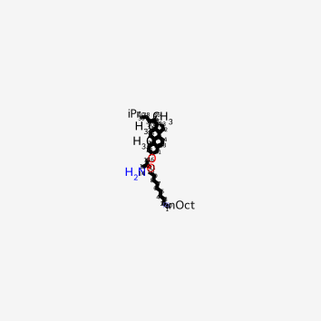 CCCCCCCC/C=C\CCCCCCCCOC(CN)COC1CC[C@@]2(C)C(=CCC3C2CC[C@@]2(C)C3CC[C@@H]2[C@H](C)CCCC(C)C)C1